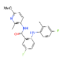 COc1ccc(NC(=O)c2cc(F)ccc2Nc2ccc(F)cc2C)c(C)n1